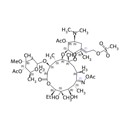 CC[C@H]1OC(=O)[C@H](C)[C@@H](OC2C[C@@](C)(OC)[C@@H](OC(C)=O)[C@H](C)O2)[C@H](C)[C@@H](O[C@@H]2O[C@H](C)C[C@H](N(C)C)[C@H]2OC(C)=O)[C@](C)(OC/C=C/COS(C)(=O)=O)C[C@@H](C)/C(=N\OC(C)=O)[C@H](C)[C@@H](O)[C@]1(C)O